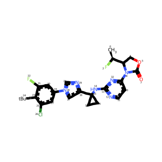 C[C@H](F)C1COC(=O)N1c1ccnc(NC2(c3cn(-c4cc(F)c(C(C)(C)C)c(Cl)c4)cn3)CC2)n1